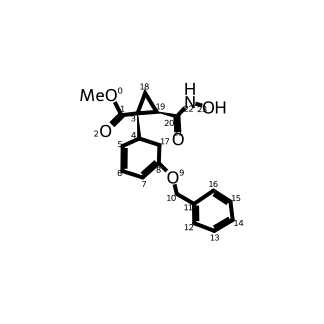 COC(=O)[C@]1(C2C=CC=C(OCc3ccccc3)C2)C[C@H]1C(=O)NO